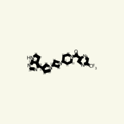 O=C(c1cnc(C(F)(F)F)cn1)N1CCC(N2C[C](n3ccc(-c4ncnc5[nH]ccc45)c3)C2)CC1